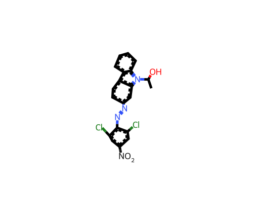 CC(O)n1c2ccccc2c2ccc(/N=N/c3c(Cl)cc([N+](=O)[O-])cc3Cl)cc21